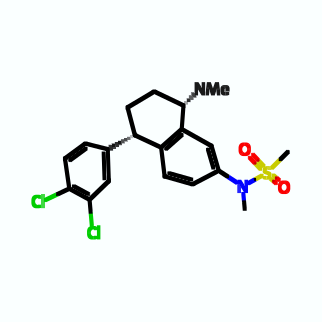 CN[C@H]1CC[C@@H](c2ccc(Cl)c(Cl)c2)c2ccc(N(C)S(C)(=O)=O)cc21